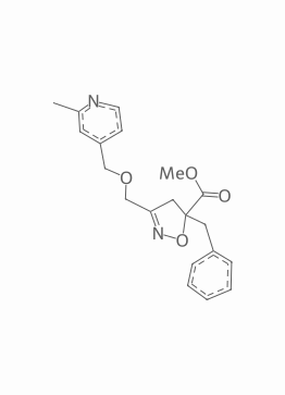 COC(=O)C1(Cc2ccccc2)CC(COCc2ccnc(C)c2)=NO1